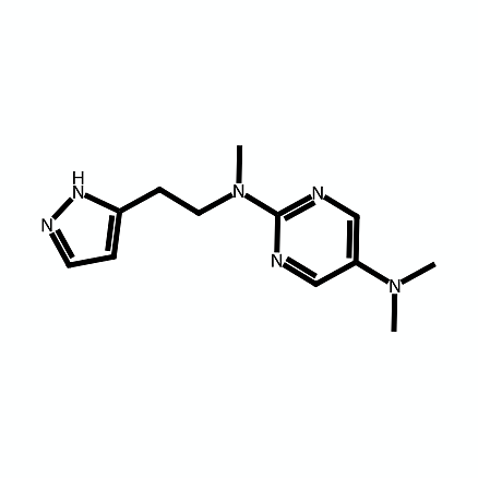 CN(C)c1cnc(N(C)CCc2ccn[nH]2)nc1